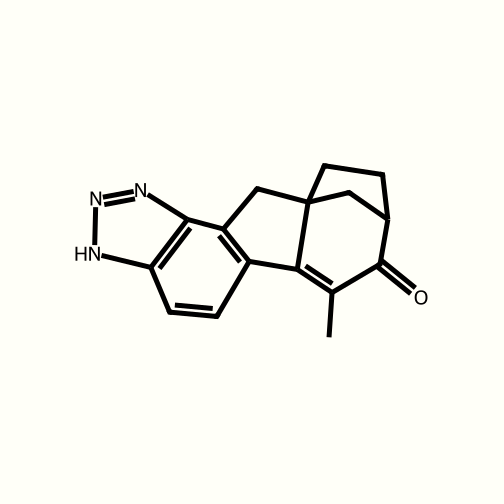 CC1=C2c3ccc4[nH]nnc4c3CC23CCC(C3)C1=O